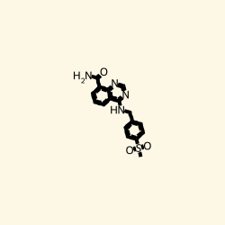 CS(=O)(=O)c1ccc(CNc2ncnc3c(C(N)=O)cccc23)cc1